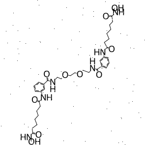 O=C(CCCCCCC(=O)Nc1cccc(C(=O)NCCOCCOCCNC(=O)c2cccc(NC(=O)CCCCCCC(=O)NO)c2)c1)NO